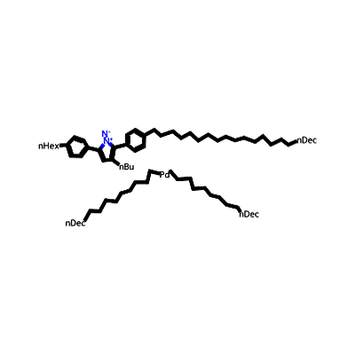 CCCCCCCCCCCCCCCCCCCCCCCCCCc1ccc(C2=C(CCCC)C=C(c3ccc(CCCCCC)cc3)[N+]2=[N-])cc1.CCCCCCCCCCCCCCCCCC[CH2][Pd][CH2]CCCCCCCCCCCCCCCCCC